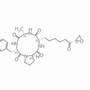 C[C@@H]1NC(=O)[C@H](CCCCCC(=O)[C@@H]2CO2)NC(=O)[C@H]2CCCN2C(=O)[C@H](Cc2ccccc2)NC1=O